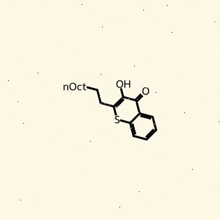 CCCCCCCCCCc1sc2ccccc2c(=O)c1O